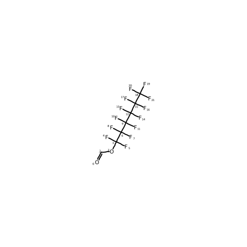 O=[C]OC(F)(F)C(F)(F)C(F)(F)C(F)(F)C(F)(F)C(F)(F)F